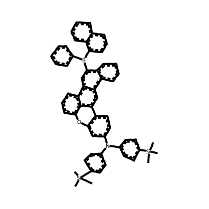 C[Si](C)(C)c1ccc(N(c2ccc([Si](C)(C)C)cc2)c2ccc3c(c2)Oc2cccc4c2c-3cc2c3ccccc3c(B(c3ccccc3)c3cccc5ccccc35)cc42)cc1